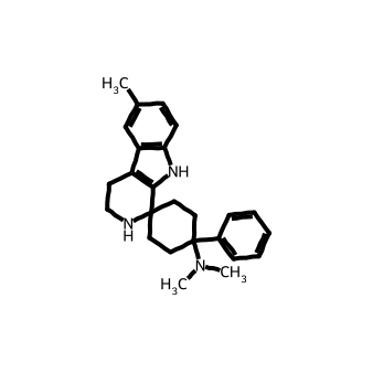 Cc1ccc2[nH]c3c(c2c1)CCNC31CCC(c2ccccc2)(N(C)C)CC1